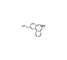 C=CCc1ccc2c(c1)=c1ccccc1=CNC=2